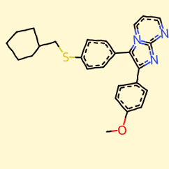 COc1ccc(-c2nc3ncccn3c2-c2ccc(SCC3CCCCC3)cc2)cc1